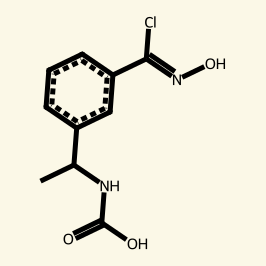 CC(NC(=O)O)c1cccc(C(Cl)=NO)c1